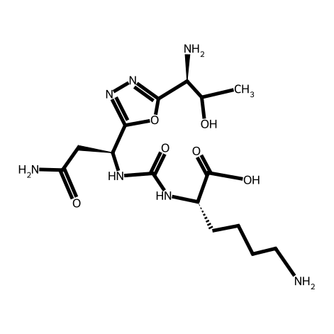 CC(O)[C@H](N)c1nnc([C@H](CC(N)=O)NC(=O)N[C@@H](CCCCN)C(=O)O)o1